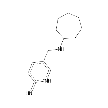 N=c1ccc(CNC2CCCCCC2)c[nH]1